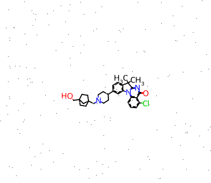 CC1(C)c2ccc(C3CCN(CC45CCC(CO)(CC4)C5)CC3)cc2-n2c1nc(=O)c1c(Cl)cccc12